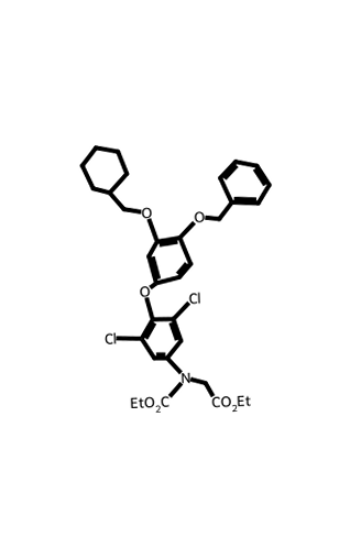 CCOC(=O)CN(C(=O)OCC)c1cc(Cl)c(Oc2ccc(OCc3ccccc3)c(OCC3CCCCC3)c2)c(Cl)c1